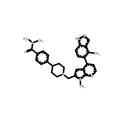 Cc1c(-c2ccnc3c2cc(CN2CCC(c4ccc(C(=O)N(C)C)cc4)CC2)n3C)ccc2[nH]ncc12